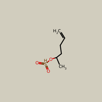 C=CCCC(C)O[SH](=O)=O